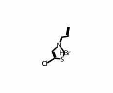 Br.C=CCN1C=C(Cl)SC1